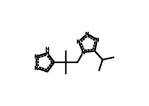 CC(C)c1nnnn1CC(C)(C)c1cnn[nH]1